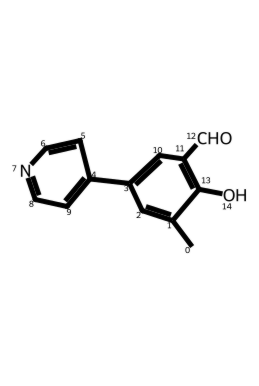 Cc1cc(-c2ccncc2)cc(C=O)c1O